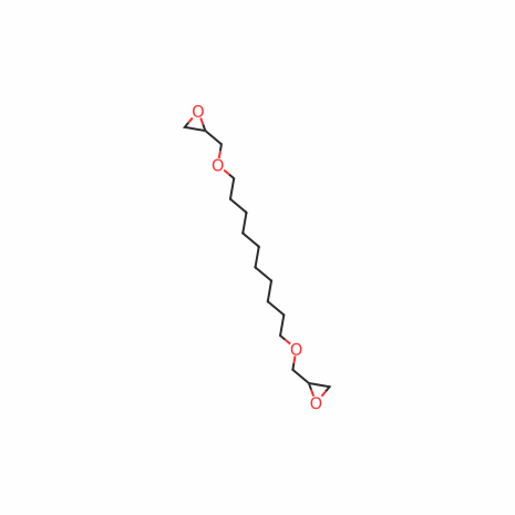 C(CCCCCOCC1CO1)CCCCOCC1CO1